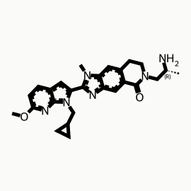 COc1ccc2cc(-c3nc4cc5c(cc4n3C)CCN(C[C@@H](C)N)C5=O)n(CC3CC3)c2n1